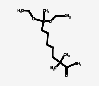 CCO[Si](C)(CCCSCC(C)(C)C(N)=O)OCC